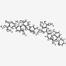 Cc1ccc2c(oc3ncccc32)c1-c1cc(-c2cc(C(C)C)c(F)c(C(C)Cc3cnc4oc5c(-c6cc(-c7ccc(F)c(C(C)C)c7)cc[n+]6C)c(C)ccc5c4c3)c2)cc[n+]1C